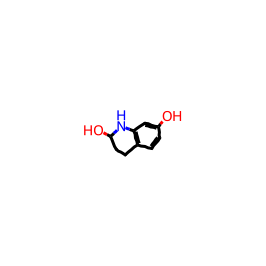 Oc1ccc2c(c1)NC(O)CC2